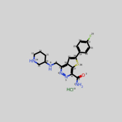 Cl.NC(=O)c1nnc(CNC2CCCNC2)c2cc(-c3ccc(F)cc3)sc12